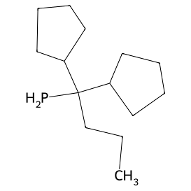 CCCC(P)(C1CCCC1)C1CCCC1